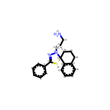 CC(=O)N1N=C(c2ccccc2)S[C@]12c1ccccc1CC[C@H]2CCN